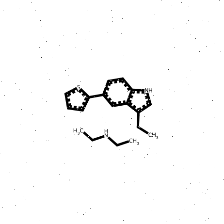 CCNCC.CCc1c[nH]c2ccc(-c3cccs3)cc12